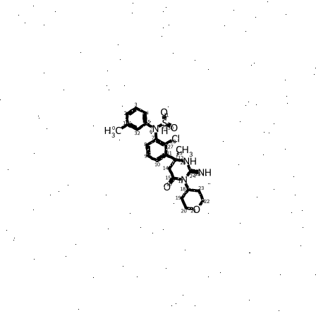 Cc1cccc(N(c2cccc([C@]3(C)CC(=O)N(C4CCOCC4)C(=N)N3)c2Cl)[SH](=O)=O)c1